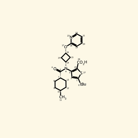 CC(C)(C)c1cc(N(C(=O)[C@H]2CC[C@H](C)CC2)[C@H]2C[C@@H](Oc3ccccn3)C2)c(C(=O)O)s1